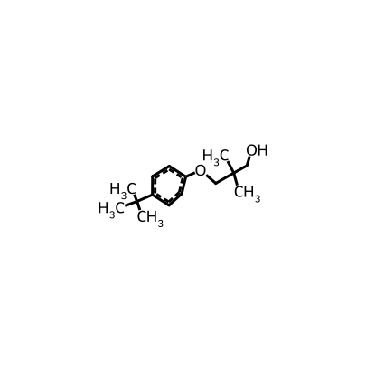 CC(C)(CO)COc1ccc(C(C)(C)C)cc1